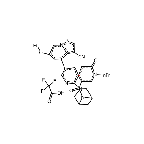 CCCn1cc(C(=O)N2C3CC2CN(c2ccc(-c4cc(OCC)cn5ncc(C#N)c45)cn2)C3)ccc1=O.O=C(O)C(F)(F)F